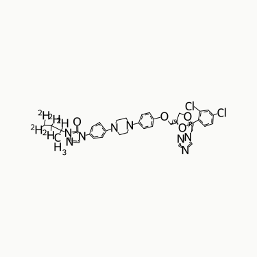 [2H]C([2H])C([2H])([2H])C([2H])(C)n1ncn(-c2ccc(N3CCN(c4ccc(OC[C@H]5CO[C@](Cn6cncn6)(c6ccc(Cl)cc6Cl)O5)cc4)CC3)cc2)c1=O